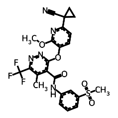 COc1nc(C2(C#N)CC2)ccc1Oc1nnc(C(F)(F)F)c(C)c1C(=O)Nc1cccc(S(C)(=O)=O)c1